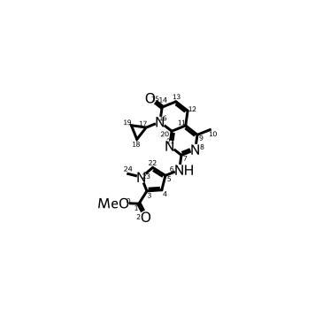 COC(=O)c1cc(Nc2nc(C)c3ccc(=O)n(C4CC4)c3n2)cn1C